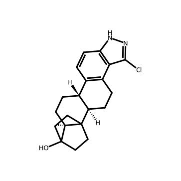 C[C@]12CC[C@@H]3c4ccc5[nH]nc(Cl)c5c4CC[C@H]3C13CCC2(O)CC3